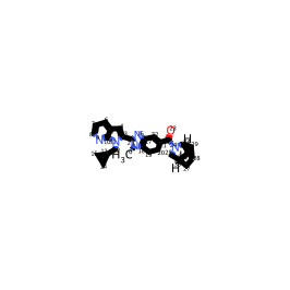 Cn1c(-c2cc3cccnc3n2CC2CC2)nc2c1CCC(C(=O)N1C[C@H]3CC4C[C@@H]1[C@H]43)=C2